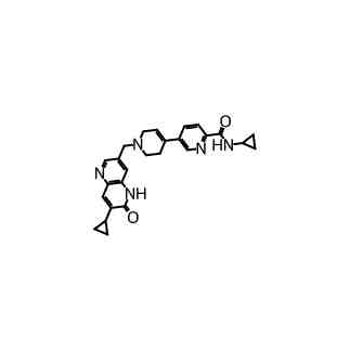 O=C(NC1CC1)c1ccc(C2=CCN(Cc3cnc4cc(C5CC5)c(=O)[nH]c4c3)CC2)cn1